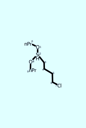 CCCO[SiH](CCCCCl)OCCC